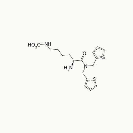 N[C@@H](CCCCNC(=O)O)C(=O)N(Cc1cccs1)Cc1cccs1